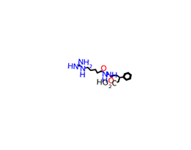 N=C(N)NCCCCC(=O)NNC(=O)CC(CC(=O)O)c1ccccc1